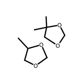 CC1(C)COCO1.CC1COCO1